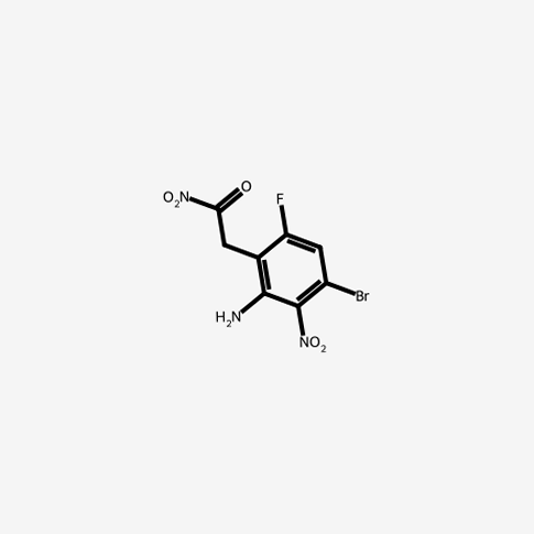 Nc1c(CC(=O)[N+](=O)[O-])c(F)cc(Br)c1[N+](=O)[O-]